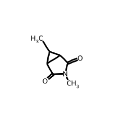 CC1C2C(=O)N(C)C(=O)C12